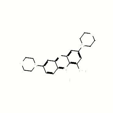 CC(C)(C)c1cc(N2CCOCC2)cc2[s+]c3cc(N4CCOCC4)ccc3nc12.[I-]